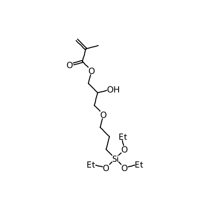 C=C(C)C(=O)OCC(O)COCCC[Si](OCC)(OCC)OCC